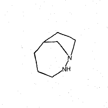 C1CNN2CCC(C1)C2